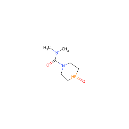 CN(C)C(=O)N1CC[PH](=O)CC1